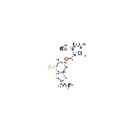 CCOC(=O)C1Cc2cc(OCC(C)N(C(=O)O)C(C)(C)C)cc(F)c2C1